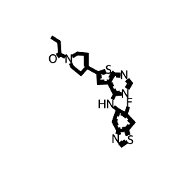 CCC(=O)N1CC=C(c2cc3c(Nc4cc5ncsc5cc4F)ncnc3s2)CC1